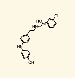 Oc1ccc(Nc2ccc(CCNC[C@H](O)c3cccc(Cl)c3)cc2)cc1